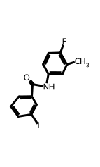 Cc1cc(NC(=O)c2cccc(I)c2)ccc1F